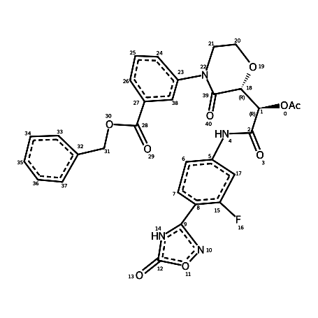 CC(=O)O[C@@H](C(=O)Nc1ccc(-c2noc(=O)[nH]2)c(F)c1)[C@H]1OCCN(c2cccc(C(=O)OCc3ccccc3)c2)C1=O